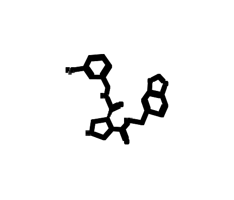 O=C(NCc1ccc2c(c1)OCO2)C1CNC[C@@H]1C(=O)NCc1cccc(C(F)(F)F)c1